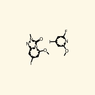 COc1cc(I)cc(F)n1.COc1cc(I)cc2nn(C)c(=O)n12